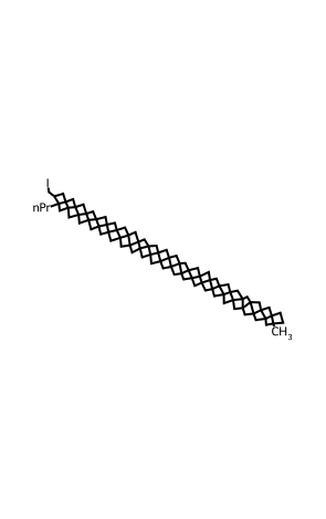 CCCC12CC34CC56CC78CC9%10CC%11%12CC%13%14CC%15%16CC%17%18CC%19%20CC%21%22CC%23%24CC%25%26CC%27%28CC%29%30CC%31%32CC%33%34CC%35%36CC%37%38CC%39%40CC%41%42CC%43(C)CCC%43%41CC%42%39CC%40%37CC%38%35CC%36%33CC%34%31CC%32%29CC%30%27CC%28%25CC%26%23CC%24%21CC%19%22CC%17%20CC%15%18CC%13%16CC%11%14CC9%12CC7%10CC58CC36CC14CC2CI